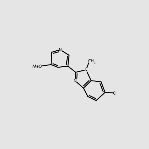 COc1cncc(-c2nc3ccc(Cl)cc3n2C)c1